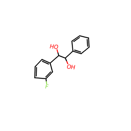 OC(c1ccccc1)C(O)c1cccc(F)c1